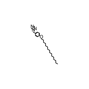 CCCCCCCCCCCCCCCCOc1ccc(Cn2cncn2)cc1